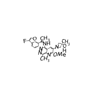 COc1nc2c(C)nnc(N[C@H](C)c3cccc4c(F)coc34)c2cc1N1CC(C)(O)C1